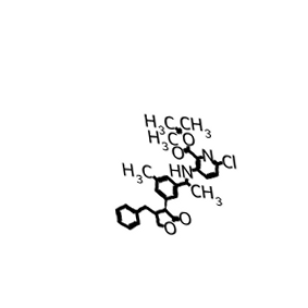 Cc1cc(C(C)Nc2ccc(Cl)nc2C(=O)OC(C)(C)C)cc([C@H]2C(=O)OCC2Cc2ccccc2)c1